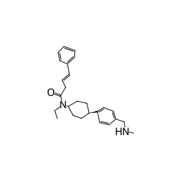 CCN(C(=O)CC=Cc1ccccc1)[C@H]1CC[C@H](c2ccc(CNC)cc2)CC1